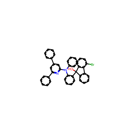 OC1(c2ccccc2N(c2ccccc2)c2cc(-c3ccccc3)cc(-c3ccccc3)n2)c2ccccc2-c2c(Br)cccc21